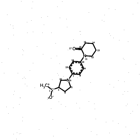 C[S+]([O-])C1CCN(c2ccc(N3CCCCC3=O)cc2)C1